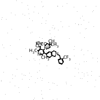 Cc1nc(C)c([C@H](OC(C)(C)C)C(=O)O)c(N2CCC(C)(C)CC2)c1-c1ccc2c(c1)CCN(Cc1ccccc1C(F)(F)F)C2